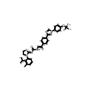 Cc1cccc(N2CCS/C2=N\C(=O)N/C=C(\F)c2ccc(-c3ncn(-c4ccc(OC(F)(F)F)cc4)n3)cc2)c1C(C)C